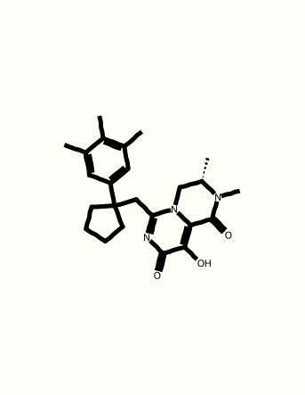 Cc1cc(C2(Cc3nc(=O)c(O)c4n3C[C@H](C)N(C)C4=O)CCCC2)cc(C)c1C